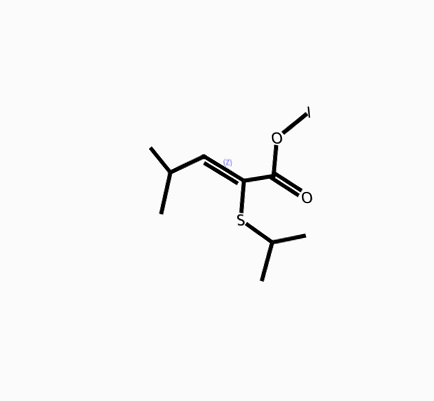 CC(C)/C=C(\SC(C)C)C(=O)OI